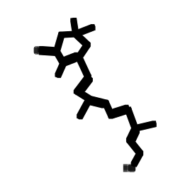 CC(C=CC1=C(C)C(=O)CC(C)(C)C1)=CC=CC(C)=CCO